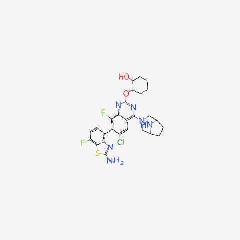 Nc1nc2c(-c3c(Cl)cc4c(N5CC6CCC(C5)N6)nc(OC5CCCCC5O)nc4c3F)ccc(F)c2s1